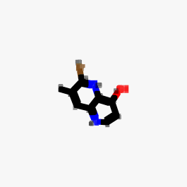 Cc1cc2nccc(O)c2nc1Br